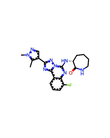 Cc1c(-c2nc3c4cccc(F)c4nc(N[C@@H]4CCCCNC4=O)n3n2)cnn1C